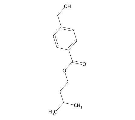 CC(C)CCOC(=O)c1ccc(CO)cc1